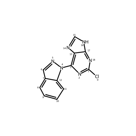 Clc1nc(-n2ncc3ccccc32)c2nc[nH]c2n1